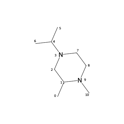 C[C]1CN(C(C)C)CCN1C